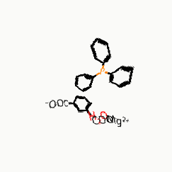 O.O=C([O-])c1cccc(C(=O)[O-])c1.[Mg+2].c1ccc(P(c2ccccc2)c2ccccc2)cc1